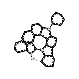 Cn1c(-n2c3ccccc3c3ccc4c(c5c6ccccc6ccc5n4-c4ccccc4)c32)cc2ccccc21